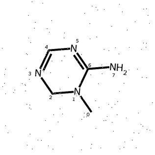 CN1CN=CN=C1N